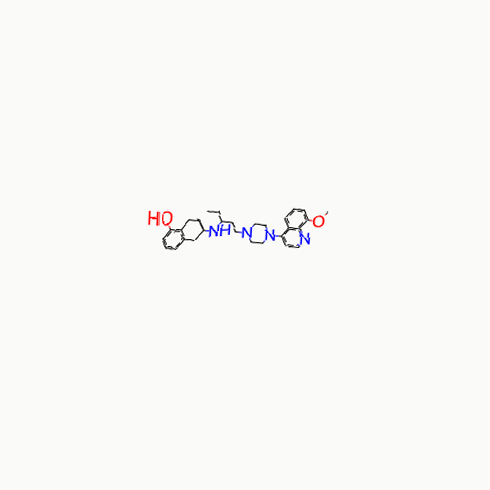 CCC(CCN1CCN(c2ccnc3c(OC)cccc23)CC1)NC1CCc2c(O)cccc2C1